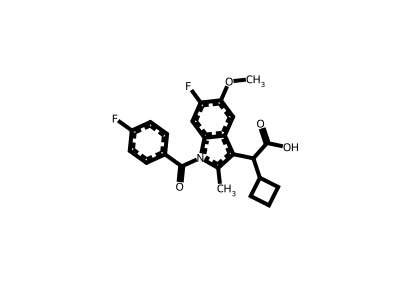 COc1cc2c(C(C(=O)O)C3CCC3)c(C)n(C(=O)c3ccc(F)cc3)c2cc1F